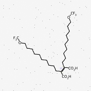 O=C(O)/C(CCCCCCCCCCOC(F)(F)F)=C(/CCCCCCCCCCOC(F)(F)F)C(=O)O